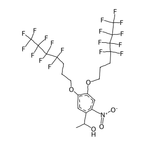 CC(O)c1cc(OCCCC(F)(F)C(F)(F)C(F)(F)C(F)(F)F)c(OCCCC(F)(F)C(F)(F)C(F)(F)C(F)(F)F)cc1[N+](=O)[O-]